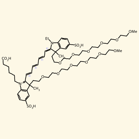 CCN1/C(=C/C=C/C=C/C=C/C2=[N+](CCCCCC(=O)O)c3ccc(S(=O)(=O)O)cc3C2(C)CCOCCOCCOCCOCCOCCOC)C(C)(CCOCCOCCOCCOCCOCCOC)c2cc(S(=O)(=O)O)ccc21